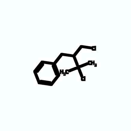 C[Si](C)(Cl)C(CCl)Cc1ccccc1